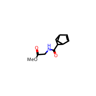 COC(=O)CNC(=O)C1CC2C=CC1C2